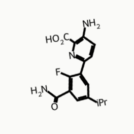 CC(C)c1cc(C(N)=O)c(F)c(-c2ccc(N)c(C(=O)O)n2)c1